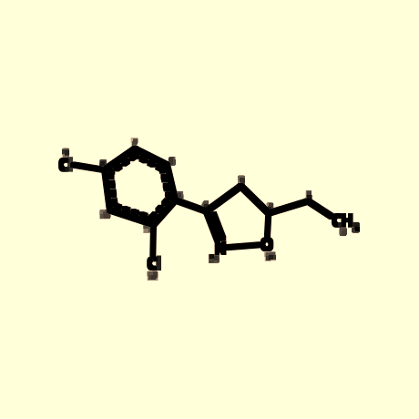 CCC1CC(c2ccc(Cl)cc2Cl)=NO1